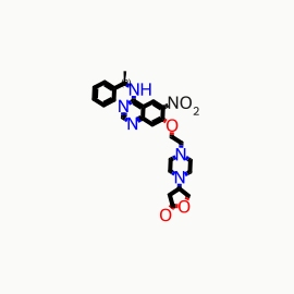 C[C@@H](Nc1ncnc2cc(OCCN3CCN(C4COC(=O)C4)CC3)c([N+](=O)[O-])cc12)c1ccccc1